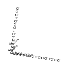 [Cl-].[Cl-].[Cl-].[Cl-].[Cl-].[Cl-].[Cl-].[Cl-].[Cl-].[Cl-].[Cl-].[Cl-].[Cl-].[Cl-].[Cl-].[Cl-].[Cl-].[Cl-].[Cl-].[Cl-].[Mg+2].[Mg+2].[Mg+2].[Mg+2].[Mg+2].[Mg+2].[Mg+2].[Mg+2].[Mg+2].[Mg+2]